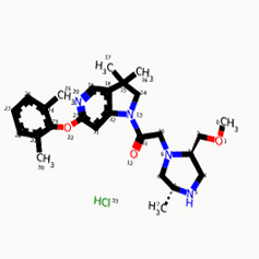 COC[C@H]1CN[C@H](C)CN1CC(=O)N1CC(C)(C)c2cnc(Oc3c(C)cccc3C)cc21.Cl